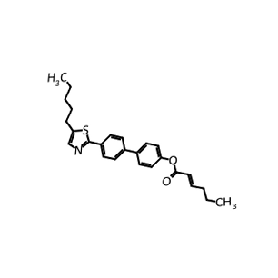 CCCC=CC(=O)Oc1ccc(-c2ccc(-c3ncc(CCCCC)s3)cc2)cc1